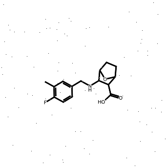 Cc1cc(CNC2C3CCC(O3)C2C(=O)O)ccc1F